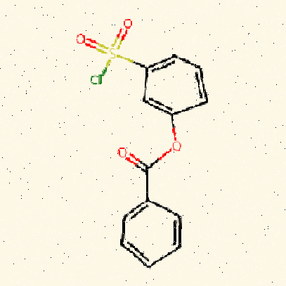 O=C(Oc1cccc(S(=O)(=O)Cl)c1)c1ccccc1